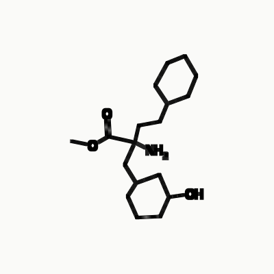 COC(=O)C(N)(CCC1CCCCC1)CC1CCCC(O)C1